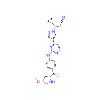 COC1CNC(C(=O)c2ccc(Nc3nccc(-c4cnn(C(CC#N)C5CC5)c4)n3)cc2)C1